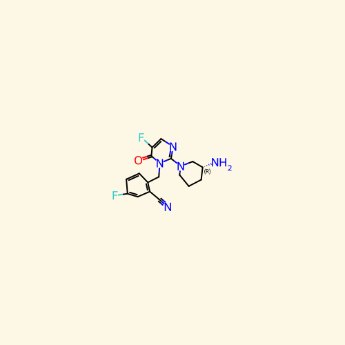 N#Cc1cc(F)ccc1Cn1c(N2CCC[C@@H](N)C2)ncc(F)c1=O